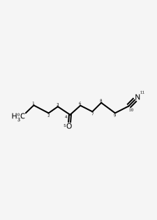 CCCCC(=O)CCCCC#N